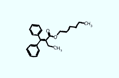 CCCCCCOC(=O)C(CC)=C(c1ccccc1)c1ccccc1